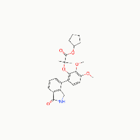 COc1ccc(-c2cccc3c2CNC3=O)c(OC(C)(C)C(=O)OC2CCCC2)c1OC